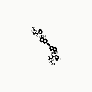 COC(=O)N[C@H](C(=O)N1C2CC2C[C@H]1c1nc2ccc3cc(C#Cc4ccc5c(ccc6nc([C@@H]7C[C@H]8C[C@H]8N7C(=O)[C@@H](NC(=O)O)C(C)C)[nH]c65)c4)ccc3c2[nH]1)C(C)C